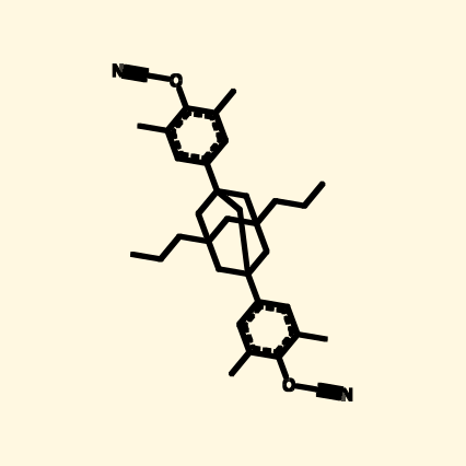 CCCC12CC3(CCC)CC(c4cc(C)c(OC#N)c(C)c4)(C1)CC(c1cc(C)c(OC#N)c(C)c1)(C2)C3